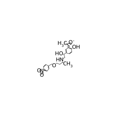 CC(CCOCc1ccc([N+](=O)[O-])cc1)NCC(O)c1ccc(O)c([S+](C)[O-])c1